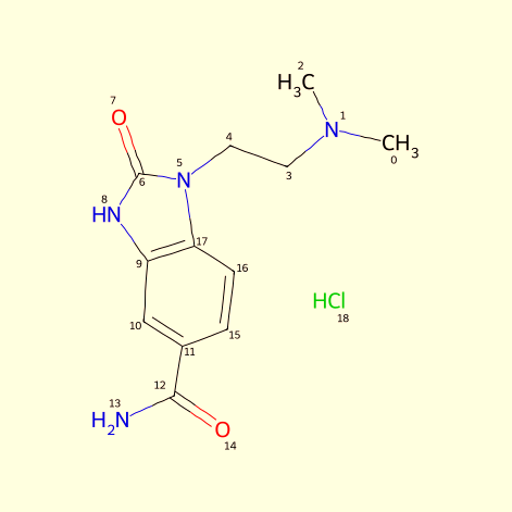 CN(C)CCn1c(=O)[nH]c2cc(C(N)=O)ccc21.Cl